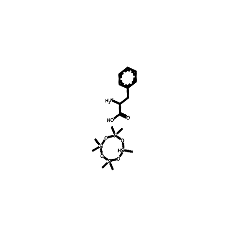 C[SiH]1O[Si](C)(C)O[Si](C)(C)O[Si](C)(C)O1.NC(Cc1ccccc1)C(=O)O